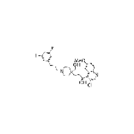 COc1ccc2ncc(Cl)c([C@@H](O)CCC3(CO)CCN(CCCc4cc(F)cc(F)c4)CC3)c2c1